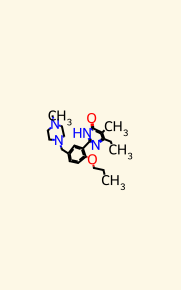 CCCOc1ccc(CN2CCN(C)CC2)cc1-c1nc(CC)c(C)c(=O)[nH]1